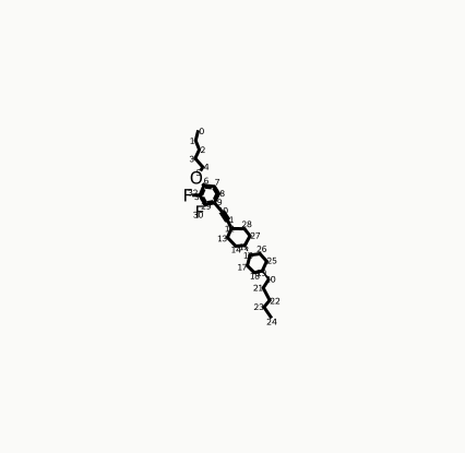 CCCCCOc1ccc(C#CC2CCC([C@H]3CC[C@H](CCCCC)CC3)CC2)c(F)c1F